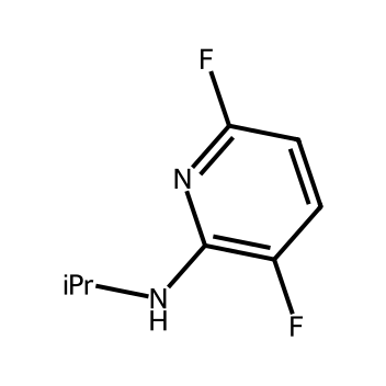 CC(C)Nc1nc(F)ccc1F